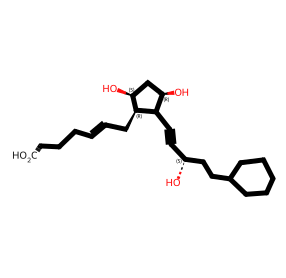 O=C(O)CCCC=CC[C@@H]1C(C#C[C@@H](O)CCC2CCCCC2)[C@H](O)C[C@@H]1O